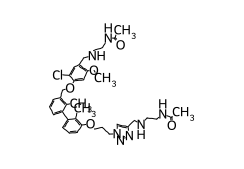 COc1cc(OCc2cccc(-c3cccc(OCCCn4cc(CNCCNC(C)=O)nn4)c3C)c2C)c(Cl)cc1CNCCNC(C)=O